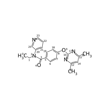 CCN(C(=O)c1ccc(Oc2nc(C)cc(C)n2)cc1)c1cccnc1